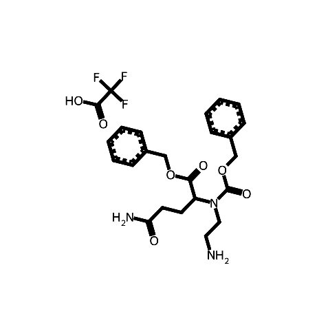 NCCN(C(=O)OCc1ccccc1)C(CCC(N)=O)C(=O)OCc1ccccc1.O=C(O)C(F)(F)F